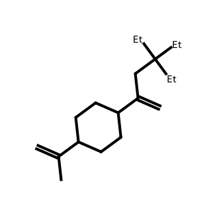 C=C(C)C1CCC(C(=C)CC(CC)(CC)CC)CC1